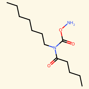 CCCCCCCN(C(=O)CCCC)C(=O)ON